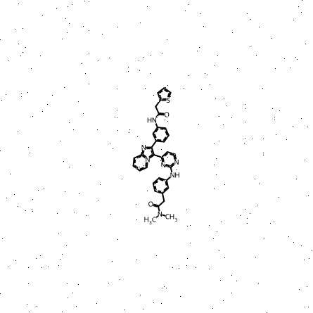 CN(C)C(=O)Cc1cccc(Nc2nccc(-c3c(-c4cccc(NC(=O)Cc5cccs5)c4)nc4ccccn34)n2)c1